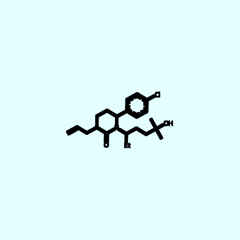 C=CCC1CCC(c2ccc(Cl)cc2)N(C(CC)CCC(C)(C)O)C1=O